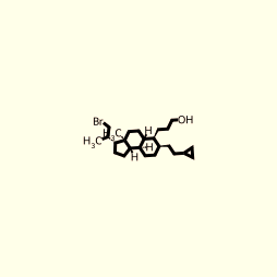 CC(CBr)[C@H]1CC[C@H]2[C@@H]3CC[C@H](CCC4CC4)[C@H](CCCO)[C@H]3CC[C@]12C